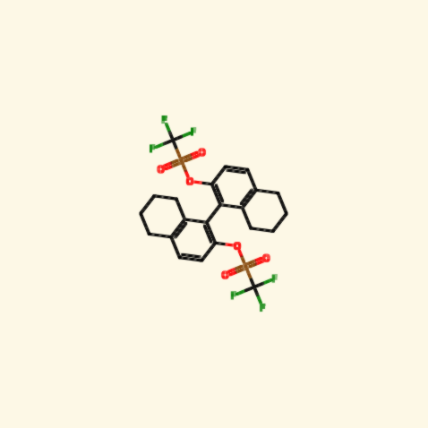 O=S(=O)(Oc1ccc2c(c1-c1c(OS(=O)(=O)C(F)(F)F)ccc3c1CCCC3)CCCC2)C(F)(F)F